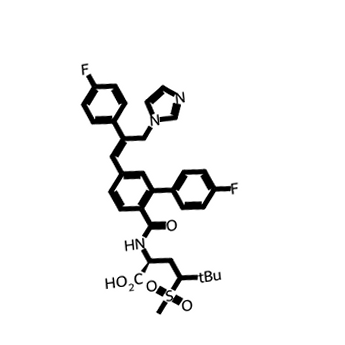 CC(C)(C)C(C[C@H](NC(=O)c1ccc(C=C(Cn2ccnc2)c2ccc(F)cc2)cc1-c1ccc(F)cc1)C(=O)O)S(C)(=O)=O